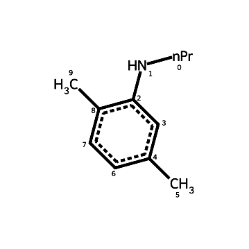 CCCNc1cc(C)ccc1C